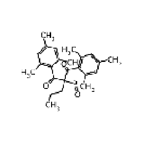 CCCC(P=O)(C(=O)c1c(C)cc(C)cc1C)C(=O)c1c(C)cc(C)cc1C